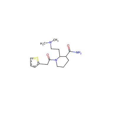 CN(C)CCC1C(C(N)=O)CCCN1C(=O)Cc1cccs1